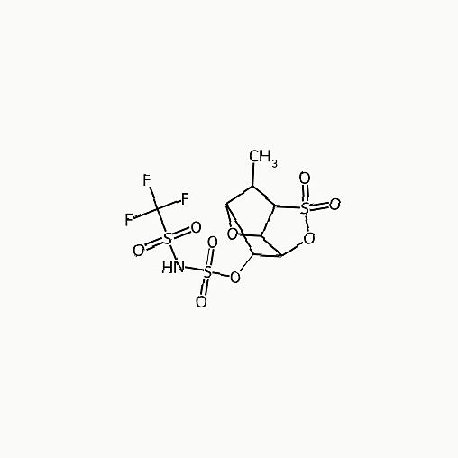 CC1C2OC3C(OS(=O)(=O)C13)C2OS(=O)(=O)NS(=O)(=O)C(F)(F)F